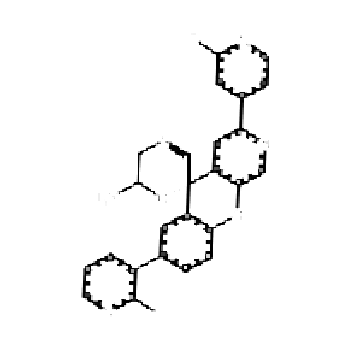 NC1CN=C[C@]2(O1)c1cc(-c3cccnc3F)ccc1Oc1cnc(-c3ccnc(F)c3)cc12